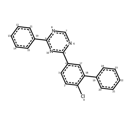 Clc1ccc(-c2ncnc(-c3ccccc3)n2)cc1-c1ccccc1